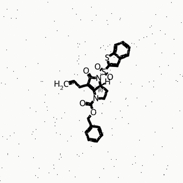 C=CCC1=C2[C@@H](CCN2C(=O)OCc2ccccc2)N(S(=O)(=O)c2cc3ccccc3s2)C1=O